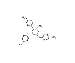 Cc1ccc(Cc2nc(N)c(-c3ccc(C)cc3)c(Cc3ccc(C)cc3)n2)cc1